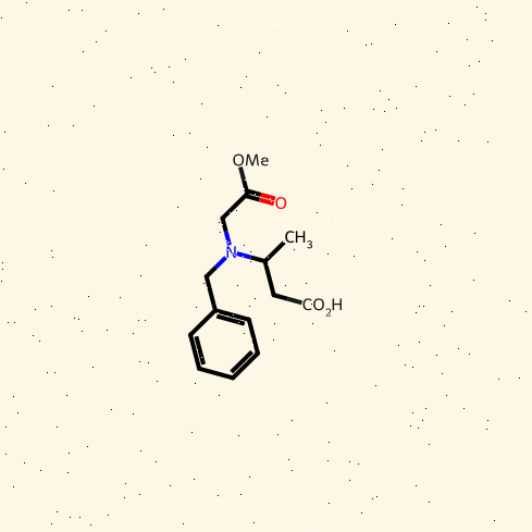 COC(=O)CN(Cc1ccccc1)C(C)CC(=O)O